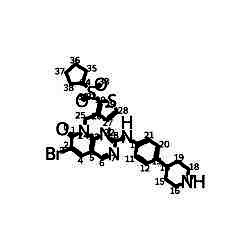 O=c1c(Br)cc2cnc(Nc3ccc(C4CCNCC4)cc3)nc2n1Cc1ccsc1S(=O)(=O)C1CCCC1